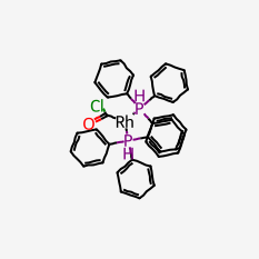 O=[C](Cl)[Rh]([PH](c1ccccc1)(c1ccccc1)c1ccccc1)[PH](c1ccccc1)(c1ccccc1)c1ccccc1